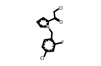 O=C(CCl)c1cccn1Cc1ccc(Cl)cc1F